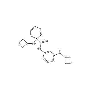 O=C(Nc1cccc(NC2CCC2)c1)C1(NC2CCC2)C=CC=CC1